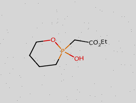 CCOC(=O)C[P]1(O)CCCCO1